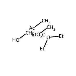 CC(C)=O.CCOC(C)=O.CCOCC.CO